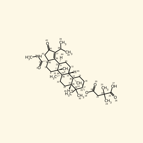 CNC(=O)[C@@]12CC[C@]3(C)[C@H](CC[C@@H]4[C@@]5(C)CC[C@H](OC(=O)CC(C)(C)C(=O)O)C(C)(C)[C@@H]5CC[C@]43C)C1=C(C(C)C)C(=O)C2